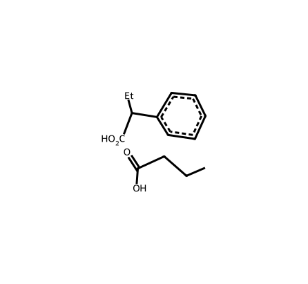 CCC(C(=O)O)c1ccccc1.CCCC(=O)O